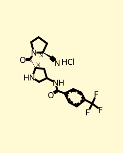 Cl.N#C[C@@H]1CCCN1C(=O)[C@@H]1CC(NC(=O)c2ccc(C(F)(F)F)cc2)CN1